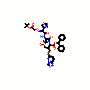 CC(C)(C)OC(=O)CON=C(C(=O)NC1C(=O)N2C(C(=O)OC(c3ccccc3)c3ccccc3)=C(CSc3ccc4nncn4n3)C[S+]([O-])[C@@H]12)c1cscn1